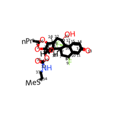 CCCC1O[C@@H]2CC3[C@@H]4C[C@H](F)C5=CC(=O)C=C[C@]5(C)[C@@]4(F)[C@@H](O)C[C@]3(C)[C@]2(C(=O)COC(=O)NCCSC)O1